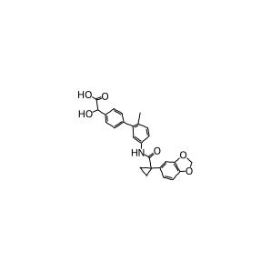 Cc1ccc(NC(=O)C2(c3ccc4c(c3)OCO4)CC2)cc1-c1ccc(C(O)C(=O)O)cc1